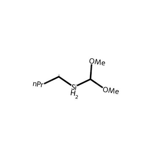 CCC[CH][SiH2]C(OC)OC